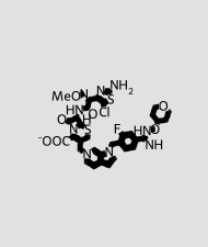 CO/N=C(\C(=O)N[C@@H]1C(=O)N2C(C(=O)[O-])=C(C[n+]3ccc4ccn(Cc5ccc(C(=N)NOC6CCOCC6)cc5F)c4c3)CS[C@H]12)c1nc(N)sc1Cl